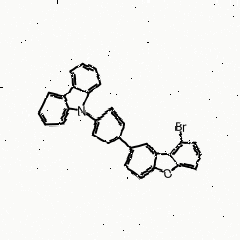 Brc1cccc2oc3ccc(-c4ccc(-n5c6ccccc6c6ccccc65)cc4)cc3c12